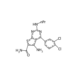 CCCNc1nc(-c2ccc(Cl)c(Cl)c2)c2c(N)c(C(N)=O)sc2n1